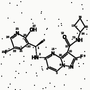 C[C@@H](Nc1ccn2nc(F)c(C(=O)NC3CCC3)c2n1)c1cc(F)cnc1O